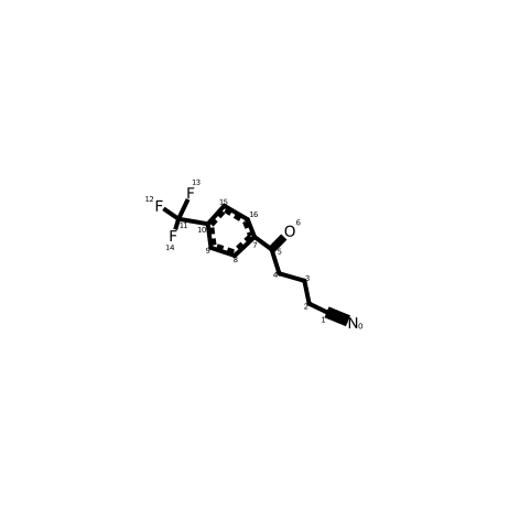 N#CCCCC(=O)c1ccc(C(F)(F)F)cc1